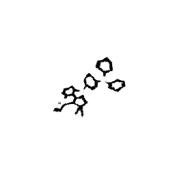 CC1(C)C=c2c3c1c1ccnn1c1cccc(c31)n2-c1ccc(N(c2ccccc2)c2ccccc2)cc1